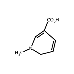 CN1C=C(C(=O)O)C=CC1